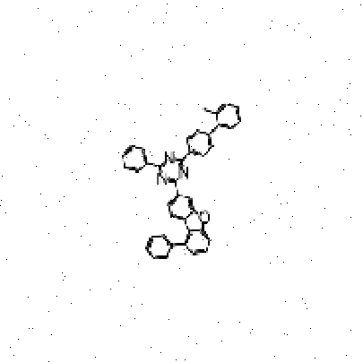 Cc1ccccc1-c1ccc(-c2nc(-c3ccccc3)nc(-c3ccc4c(c3)oc3cccc(-c5ccccc5)c34)n2)cc1